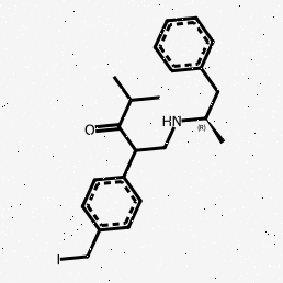 CC(C)C(=O)C(CN[C@H](C)Cc1ccccc1)c1ccc(CI)cc1